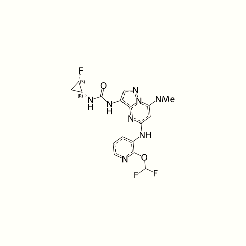 CNc1cc(Nc2cccnc2OC(F)F)nc2c(NC(=O)N[C@@H]3C[C@@H]3F)cnn12